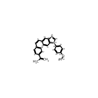 C=C(C)c1ccc(/C=C\c2ccc3c(c2)ncn3-c2ccc(OC(C)C)cc2)cc1